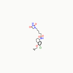 O=C1CN(CCCCCS(=O)(=O)NC2CCCc3c2ccc(Cl)c3OCC2CC2)C(=O)N1